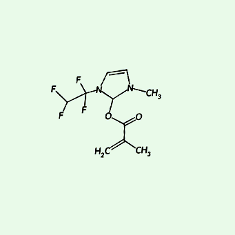 C=C(C)C(=O)OC1N(C)C=CN1C(F)(F)C(F)F